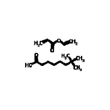 C=COC(=O)C=C.CC(C)(C)CCCCCC(=O)O